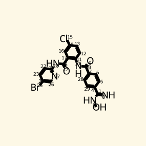 N=C(NO)c1ccc(C(=O)Nc2ccc(Cl)cc2C(=O)Nc2ccc(Br)cn2)cc1